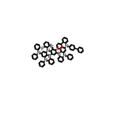 Fc1cccc(F)c1N1c2cc(N(c3ccccc3)c3ccccc3)cc3c2B(c2ccccc2N3c2ccccc2)c2cc3c(c(F)c21)Sc1cc(N(c2ccc(-c4ccccc4)cc2)c2ccccc2-c2ccccc2)cc2c1B3c1ccccc1N2c1ccccc1